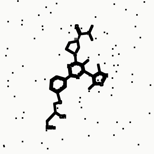 CNCC(O)COc1cccc(-c2nc(-c3c(C)noc3C)c(C)c(N3CC[C@H](C(=O)N(C)C)C3)n2)c1